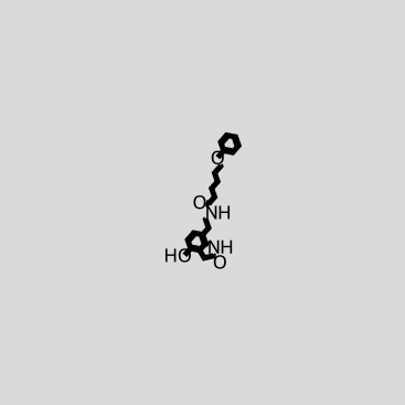 O=C(CCCCCOc1ccccc1)NCCc1ccc(O)c2c1NC(=O)C2